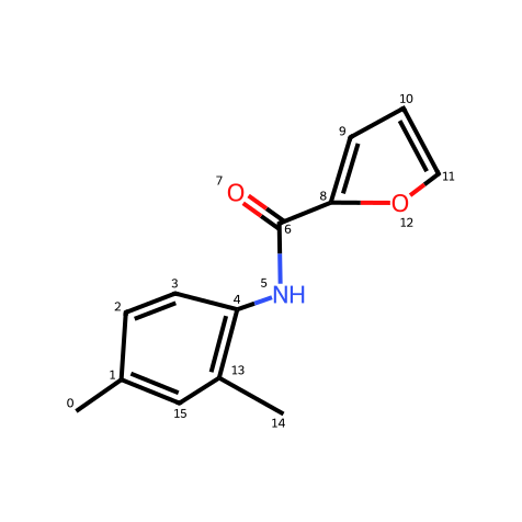 Cc1ccc(NC(=O)c2ccco2)c(C)c1